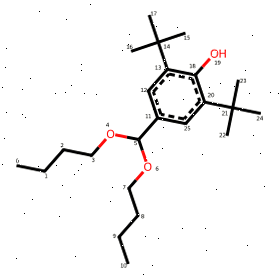 CCCCOC(OCCCC)c1cc(C(C)(C)C)c(O)c(C(C)(C)C)c1